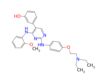 CCN(CC)CCOc1ccc(Nc2ncc(-c3cccc(O)c3)c(Nc3ccccc3OC)n2)cc1